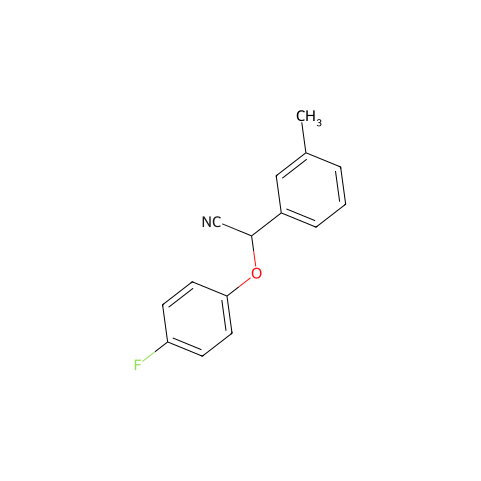 Cc1cccc(C(C#N)Oc2ccc(F)cc2)c1